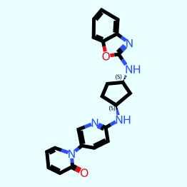 O=c1ccccn1-c1ccc(N[C@H]2CC[C@H](Nc3nc4ccccc4o3)C2)nc1